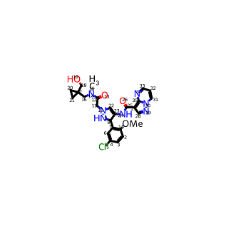 COc1ccc(Cl)cc1C1NN(CC(=O)N(C)CC2(CO)CC2)C=C1NC(=O)c1cnn2cccnc12